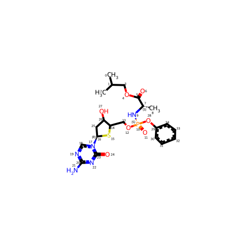 CC(C)COC(=O)[C@H](C)N[P@](=O)(OCC1S[C@@H](n2cnc(N)nc2=O)CC1O)Oc1ccccc1